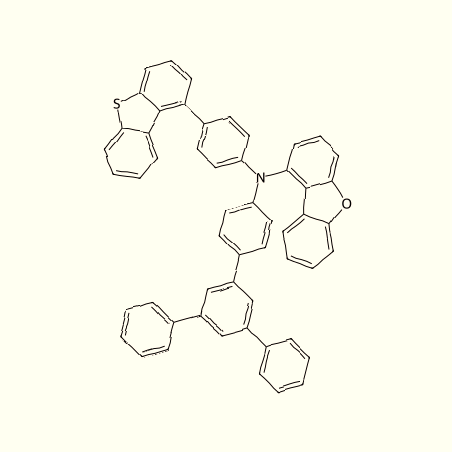 c1ccc(-c2cc(-c3ccccc3)cc(-c3ccc(N(c4ccc(-c5cccc6sc7ccccc7c56)cc4)c4cccc5oc6ccccc6c45)cc3)c2)cc1